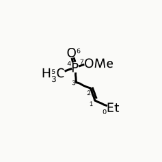 CC/C=C/CP(C)(=O)OC